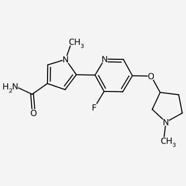 CN1CCC(Oc2cnc(-c3cc(C(N)=O)cn3C)c(F)c2)C1